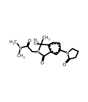 CN(C)C(=O)CN1C(=O)c2cc(N3CCCC3=O)ccc2C1(C)C